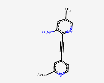 CC(=O)Nc1cc(C#Cc2ncc(C)cc2N)ccn1